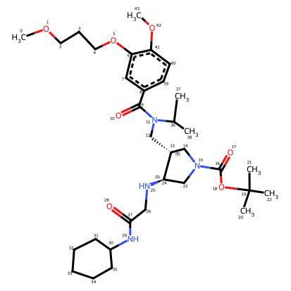 COCCCOc1cc(C(=O)N(C[C@@H]2CN(C(=O)OC(C)(C)C)C[C@H]2NCC(=O)NC2CCCCC2)C(C)C)ccc1OC